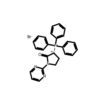 O=C1[C@H]([P+](c2ccccc2)(c2ccccc2)c2ccccc2)CCN1c1ncccn1.[Br-]